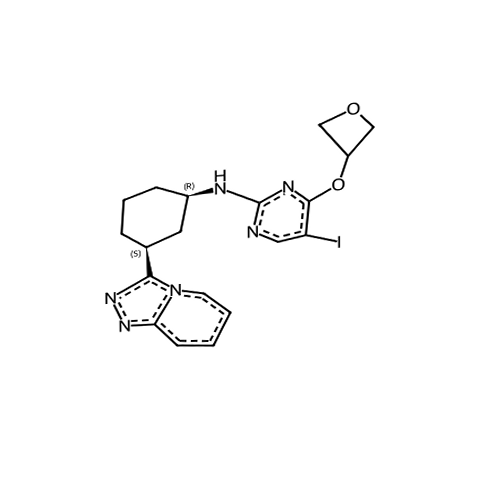 Ic1cnc(N[C@@H]2CCC[C@H](c3nnc4ccccn34)C2)nc1OC1COC1